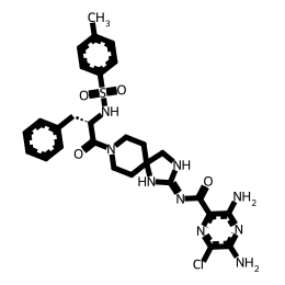 Cc1ccc(S(=O)(=O)N[C@@H](Cc2ccccc2)C(=O)N2CCC3(CC2)CN/C(=N\C(=O)c2nc(Cl)c(N)nc2N)N3)cc1